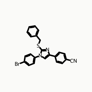 N#Cc1ccc(-c2cn(-c3ccc(Br)cc3)c(SCc3ccccc3)n2)cc1